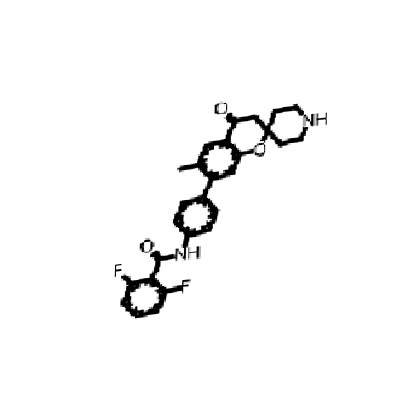 Cc1cc2c(cc1-c1ccc(NC(=O)c3c(F)cccc3F)cc1)OC1(CCNCC1)CC2=O